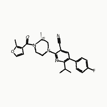 Cc1occc1C(=O)N1CCN(c2nc(C(C)C)c(-c3ccc(F)cc3)cc2C#N)C[C@H]1C